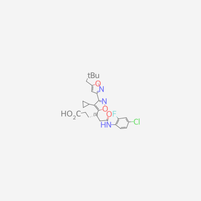 CC(C)(C)Cc1cc(-c2noc([C@@H](CCC(=O)O)CC(=O)Nc3ccc(Cl)cc3F)c2C2CC2)no1